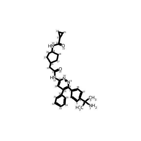 CC(C)(N)c1ccc(-c2nnc(NC(=O)CC3CCC(NC(=O)C4CC4)CC3)cc2-c2ccccc2)cc1